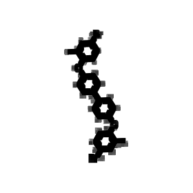 Cc1cc(Br)ccc1Oc1ccc(-c2ccc(Oc3ccc(Br)cc3C)cc2)cc1